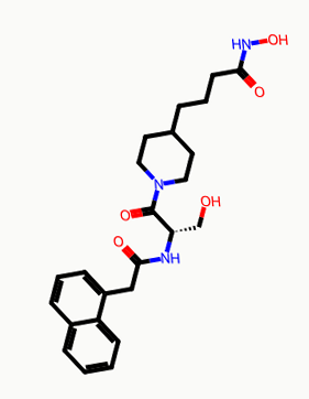 O=C(CCCC1CCN(C(=O)[C@H](CO)NC(=O)Cc2cccc3ccccc23)CC1)NO